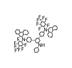 Fc1c(F)c(C(F)(F)F)c(F)c(F)c1N(c1ccc(-c2cc(Nc3ccccc3)cc(-c3ccc(N(c4c(F)c(F)c(C(F)(F)F)c(F)c4F)c4cc5ccccc5c5ccccc45)cc3)c2)cc1)c1cc2ccccc2c2ccccc12